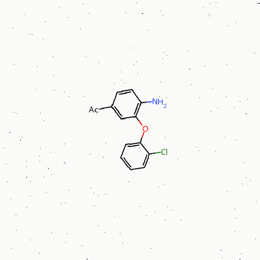 CC(=O)c1ccc(N)c(Oc2ccccc2Cl)c1